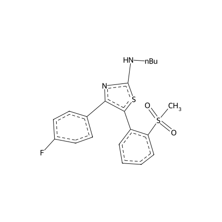 CCCCNc1nc(-c2ccc(F)cc2)c(-c2ccccc2S(C)(=O)=O)s1